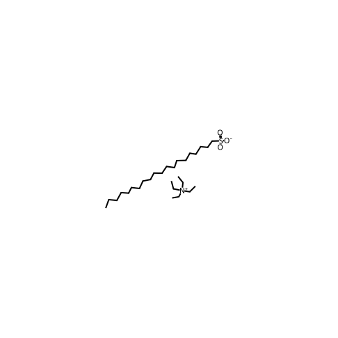 CCCCCCCCCCCCCCCCCCCCS(=O)(=O)[O-].CC[N+](CC)(CC)CC